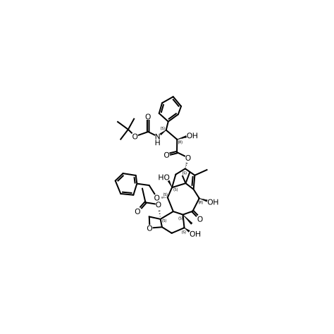 CC(=O)O[C@@]12COC1C[C@H](O)[C@@]1(C)C(=O)[C@H](O)C3=C(C)[C@@H](OC(=O)[C@H](O)[C@@H](NC(=O)OC(C)(C)C)c4ccccc4)C[C@@](O)([C@@H](OCc4ccccc4)C21)C3(C)C